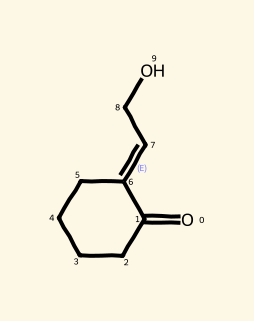 O=C1CCCC/C1=C\CO